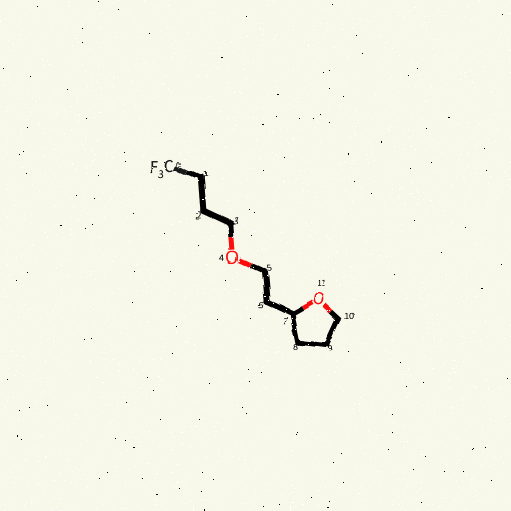 FC(F)(F)CCCOCCC1CCCO1